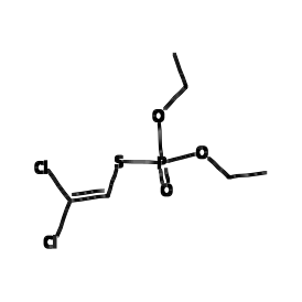 CCOP(=O)(OCC)SC=C(Cl)Cl